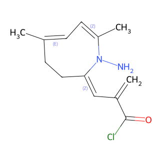 C=C(/C=C1/CC/C(C)=C/C=C(/C)N1N)C(=O)Cl